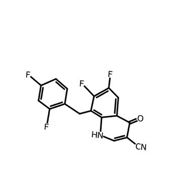 N#Cc1c[nH]c2c(Cc3ccc(F)cc3F)c(F)c(F)cc2c1=O